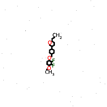 C=CCC1CCC(C2CCC(COc3ccc(OCC)c(F)c3F)CC2)CO1